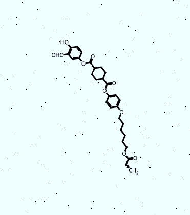 C=CC(=O)OCCCCCCOc1ccc(OC(=O)C2CCC(C(=O)Oc3ccc(O)c(C=O)c3)CC2)cc1